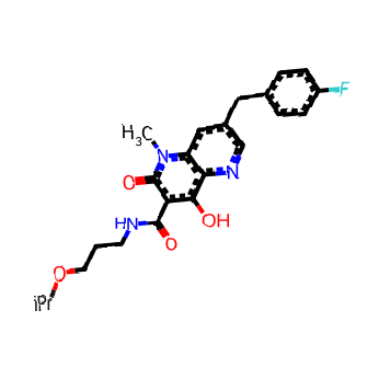 CC(C)OCCCNC(=O)c1c(O)c2ncc(Cc3ccc(F)cc3)cc2n(C)c1=O